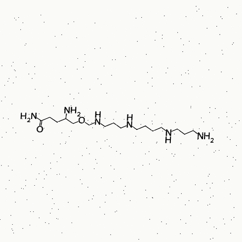 NCCCNCCCCNCCCNCOCC(N)CCC(N)=O